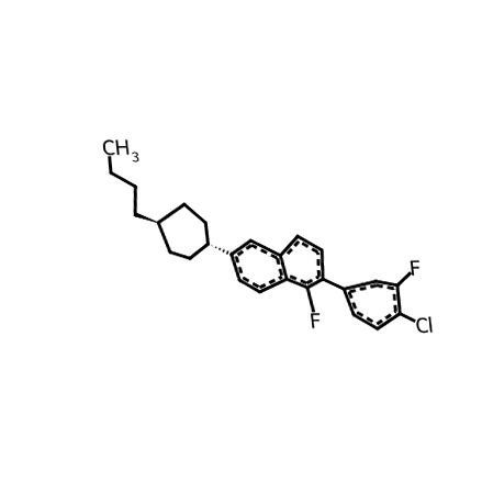 CCCC[C@H]1CC[C@H](c2ccc3c(F)c(-c4ccc(Cl)c(F)c4)ccc3c2)CC1